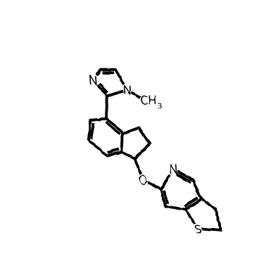 Cn1ccnc1-c1cccc2c1CCC2Oc1cc2c(cn1)CCS2